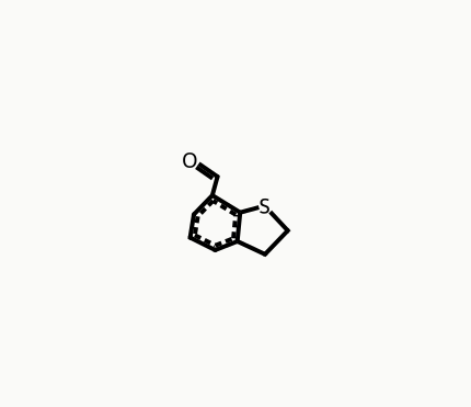 O=Cc1cccc2c1SCC2